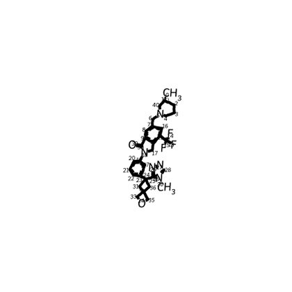 C[C@H]1CCCN(Cc2cc3c(c(C(F)(F)F)c2)CN(c2cccc(C4(c5nncn5C)CC5(COC5)C4)c2)C3=O)C1